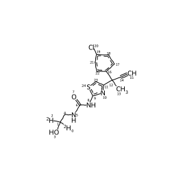 [2H]C([2H])(O)CNC(=O)Nc1nc(C(C)(C#C)c2ccc(Cl)cc2)cs1